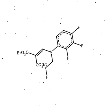 CCOC(=O)C(=CN(CCF)c1ccc(F)c(F)c1F)C(=O)OCC